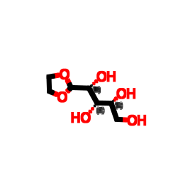 OC[C@@H](O)[C@H](O)[C@@H](O)C1OCCO1